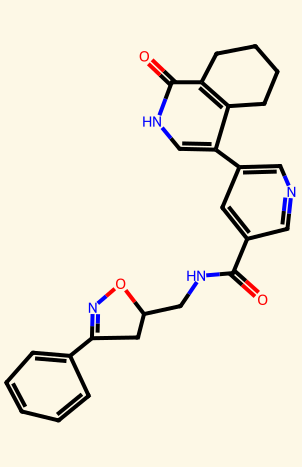 O=C(NCC1CC(c2ccccc2)=NO1)c1cncc(-c2c[nH]c(=O)c3c2CCCC3)c1